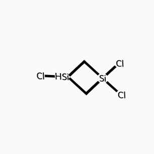 Cl[SiH]1C[Si](Cl)(Cl)C1